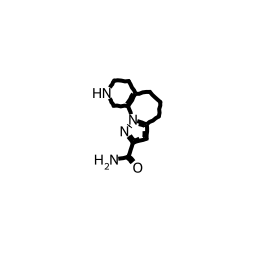 NC(=O)c1cc2n(n1)C1=C(CCC2)CCNC1